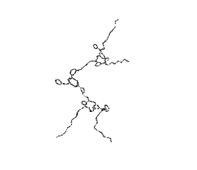 CCCCCCCC(=O)OCC(CCOc1cc(C=O)cc(OCCC(COC(=O)CCCCCCC)OC(=O)CCCCCCC)c1)OC(=O)CCCCCCC